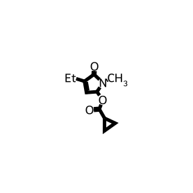 CCC1=CC(OC(=O)C2CC2)N(C)C1=O